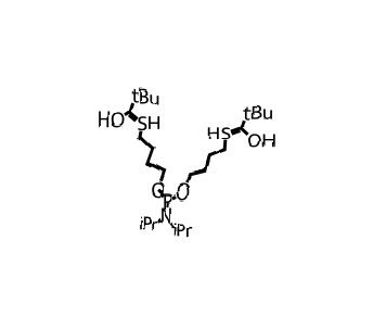 CC(C)N(C(C)C)P(OCCCC[SH]=C(O)C(C)(C)C)OCCCC[SH]=C(O)C(C)(C)C